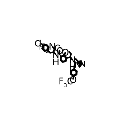 NC(=O)C(Cc1ccc(Cl)cc1)NC(=O)c1cccc2c1OCCC2NCc1cncn1Cc1ccc(OC(F)(F)F)cc1